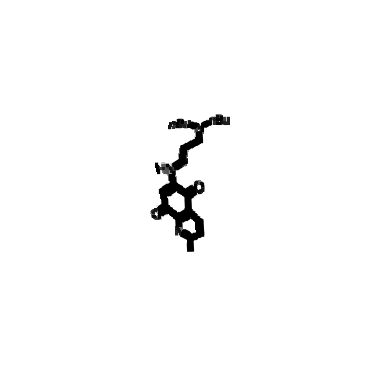 CCCCN(CCCC)CCCNC1=CC(=O)c2nc(C)ccc2C1=O